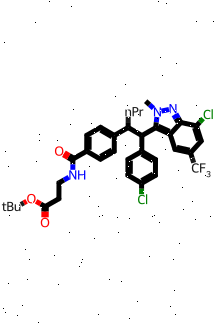 CCCC(c1ccc(C(=O)NCCC(=O)OC(C)(C)C)cc1)C(c1ccc(Cl)cc1)c1c2cc(C(F)(F)F)cc(Cl)c2nn1C